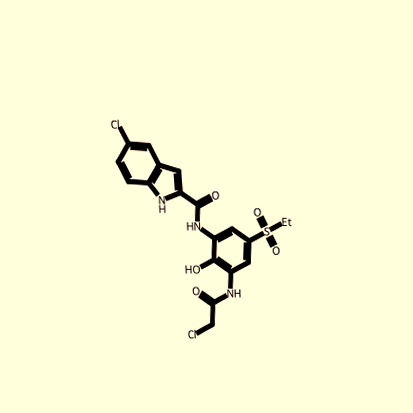 CCS(=O)(=O)c1cc(NC(=O)CCl)c(O)c(NC(=O)c2cc3cc(Cl)ccc3[nH]2)c1